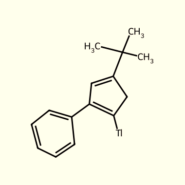 CC(C)(C)C1=CC(c2ccccc2)=[C]([Tl])C1